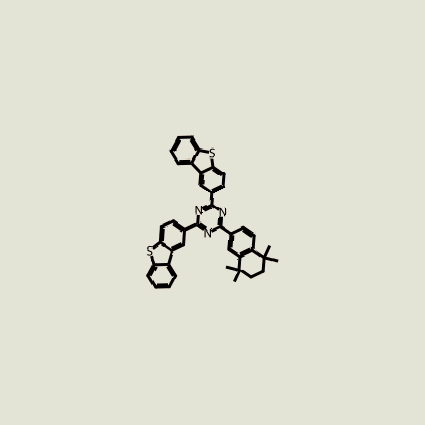 CC1(C)CCC(C)(C)c2cc(-c3nc(-c4ccc5sc6ccccc6c5c4)nc(-c4ccc5sc6ccccc6c5c4)n3)ccc21